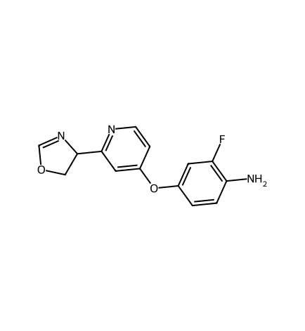 Nc1ccc(Oc2ccnc(C3COC=N3)c2)cc1F